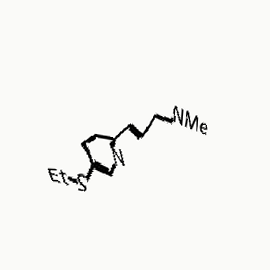 CCSc1ccc(C=CCCNC)nc1